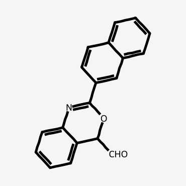 O=CC1OC(c2ccc3ccccc3c2)=Nc2ccccc21